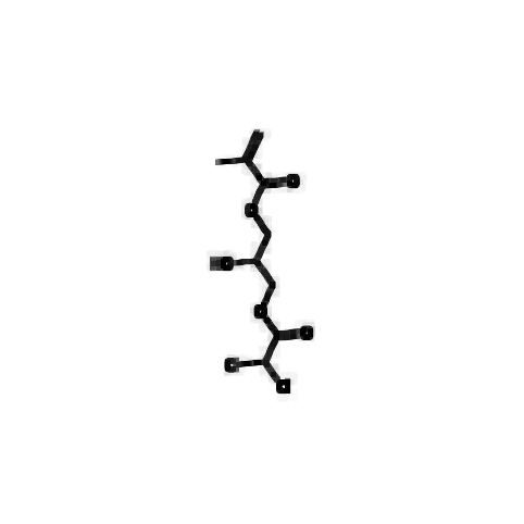 C=C(C)C(=O)OCC(O)COC(=O)C(Cl)Cl